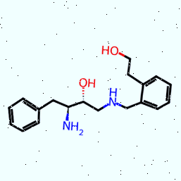 N[C@@H](Cc1ccccc1)[C@H](O)CNCc1ccccc1CCO